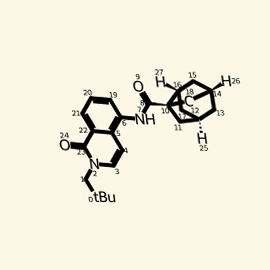 CC(C)(C)Cn1ccc2c(NC(=O)[C@@]34C[C@@H]5C[C@@H](C[C@@H]3C5)C4)cccc2c1=O